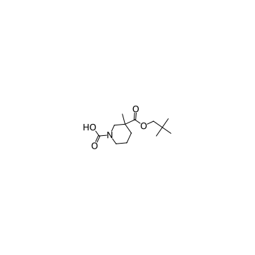 CC(C)(C)COC(=O)C1(C)CCCN(C(=O)O)C1